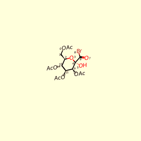 CC(=O)OC[C@H]1O[C@@](O)(C(=O)Br)[C@@H](OC(C)=O)[C@@H](OC(C)=O)[C@@H]1OC(C)=O